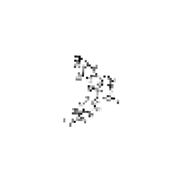 CCn1ncc(-c2ccc(OC)c(F)c2)c1C(=O)Oc1ccc(S(N)(=O)=O)cc1